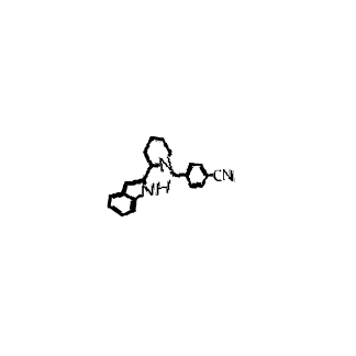 N#Cc1ccc(CN2CCCCC2c2cc3ccccc3[nH]2)cc1